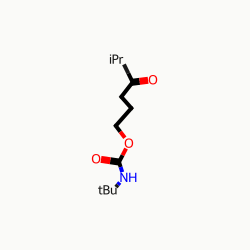 CC(C)C(=O)CCCOC(=O)NC(C)(C)C